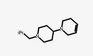 C[C](C)CN1CCC(N2CC=CCC2)CC1